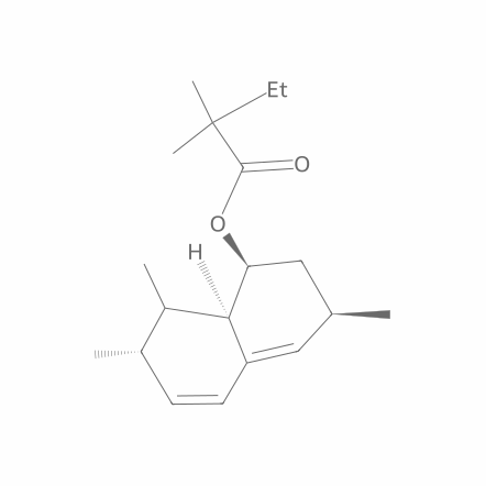 CCC(C)(C)C(=O)O[C@H]1C[C@@H](C)C=C2C=C[C@H](C)C(C)[C@H]21